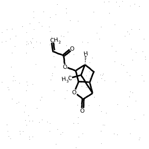 C=CC(=O)OC1C2OC(=O)C3C2C[C@H]1C3C